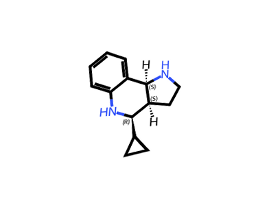 c1ccc2c(c1)N[C@H](C1CC1)[C@@H]1CCN[C@H]21